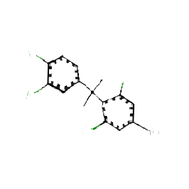 CC(C)c1cc(Cl)c(C(C)(C)c2ccc(F)c(F)c2)c(Cl)c1